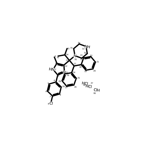 Cc1[nH]c(-c2ccc(Cl)cc2)nc1C(C(C)C)(C(c1ccccc1)c1ccccc1)N1CCNCC1.Cl.Cl.Cl